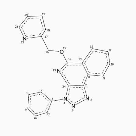 c1ccc(-n2nnc3c4ccccc4c(OCc4ccccn4)nc32)cc1